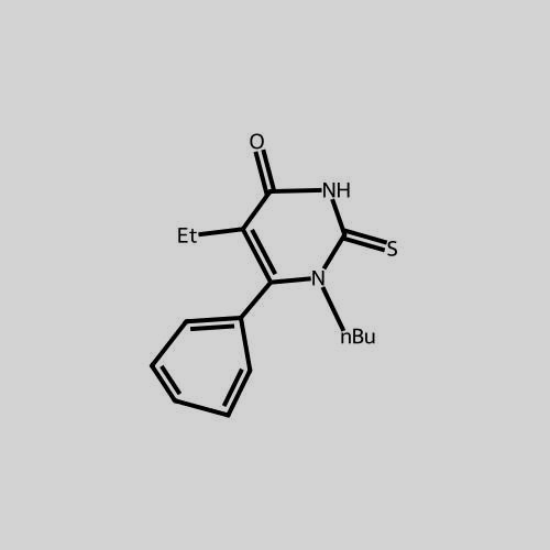 CCCCn1c(-c2ccccc2)c(CC)c(=O)[nH]c1=S